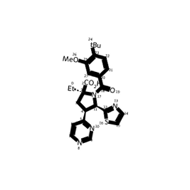 CC[C@@]1(C(=O)O)C[C@H](c2ccncn2)[C@H](c2nccs2)N1C(=O)c1ccc(C(C)(C)C)c(OC)c1